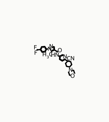 Cc1c(C(=O)Nc2ccc([C@]3(C#N)CC[C@@H](N4CCOCC4)CC3)nc2)cnn1-c1ccc(C(F)F)cc1